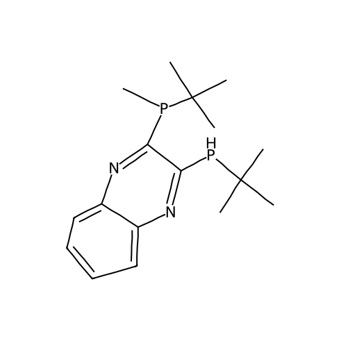 CP(c1nc2ccccc2nc1PC(C)(C)C)C(C)(C)C